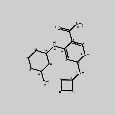 NC(=O)C1=CNC(NC2CCC2)C=C1NC1CCCC(O)C1